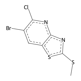 CSc1nc2nc(Cl)c(Br)cc2s1